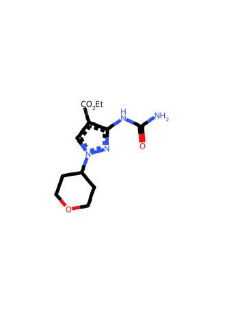 CCOC(=O)c1cn(C2CCOCC2)nc1NC(N)=O